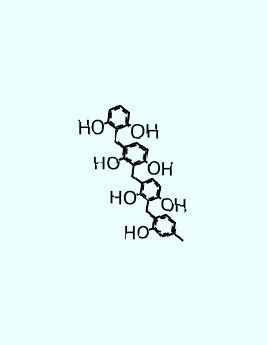 Cc1ccc(Cc2c(O)ccc(Cc3c(O)ccc(Cc4c(O)cccc4O)c3O)c2O)c(O)c1